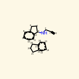 C#CCN[C@@H]1CCc2ccccc21.c1ccc2c(c1)CCC2